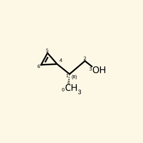 C[C@@H](CO)C1C=C1